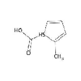 CC1=CC=C[SH]1C(=O)O